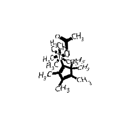 CC(=O)[O][Ti]([CH3])([CH3])([CH3])([CH3])([CH3])[C]1=C(C)C(C)=C(C)C1(C)C